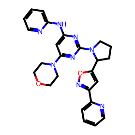 c1ccc(Nc2cc(N3CCOCC3)nc(N3CCCC3c3cc(-c4ccccn4)no3)n2)nc1